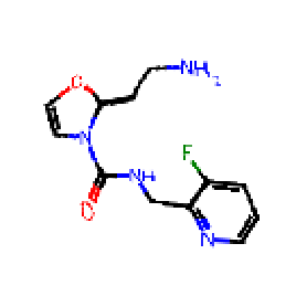 NCCC1OC=CN1C(=O)NCc1ncccc1F